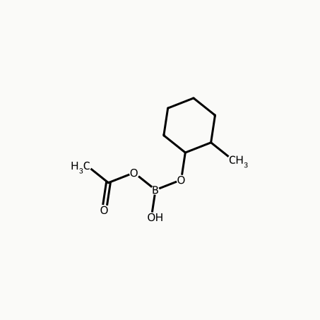 CC(=O)OB(O)OC1CCCCC1C